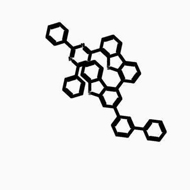 c1ccc(-c2cccc(-c3cc(-c4cccc5c4sc4c(-c6nc(-c7ccccc7)nc(-c7ccccc7)n6)cccc45)c4c(c3)sc3ccccc34)c2)cc1